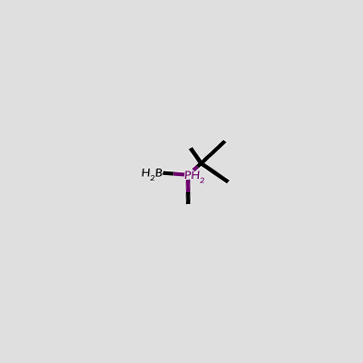 B[PH2](C)C(C)(C)C